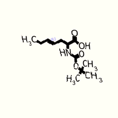 CC/C=C/CC(NC(=O)OC(C)(C)C)C(=O)O